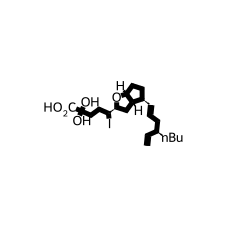 C=C[C@H](CC=C[C@H]1CC[C@H]2O[C@@H](C(I)CCC(O)(O)C(=O)O)C[C@H]12)CCCC